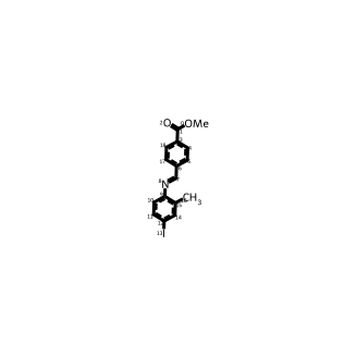 COC(=O)c1ccc(C=Nc2ccc(I)cc2C)cc1